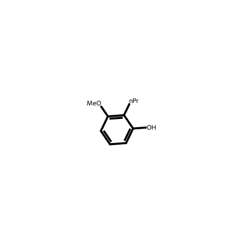 CCCc1c(O)cccc1OC